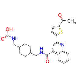 CC(=O)c1ccc(-c2cc(C(=O)NCC3CCC(CNC(=O)O)CC3)c3ccccc3n2)s1